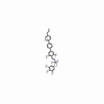 CCCc1ccc(-c2ccc(-c3cc(F)c(/C=C/C(F)(F)Oc4cc(F)c(F)c(F)c4)c(F)c3)cc2)nc1